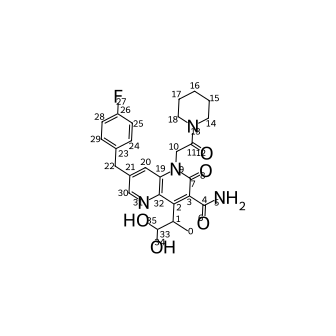 CC(c1c(C(N)=O)c(=O)n(CC(=O)N2CCCCC2)c2cc(Cc3ccc(F)cc3)cnc12)C(O)O